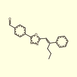 CCC/C(=C\c1nnc(-c2ccc(C=O)cc2)o1)c1ccccc1